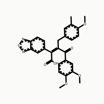 COc1ccc(CC(C(=O)c2ccc(OC)c(OC)c2)=C(C(=O)O)c2ccc3nsnc3c2)cc1C